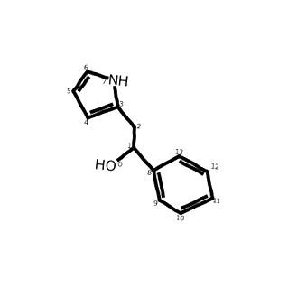 OC(Cc1ccc[nH]1)c1ccccc1